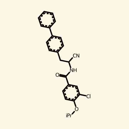 CC(C)Oc1ccc(C(=O)NC(C#N)Cc2ccc(-c3ccccc3)cc2)cc1Cl